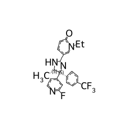 CCn1cc(C2=N[C@@](c3ccc(C(F)(F)F)cc3)(c3ccnc(F)c3)[C@H](C)N2)ccc1=O